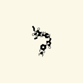 CCCn1c(=O)c2[nH]c(-c3cnn(CC4CC(=O)N(c5cccc(OC(F)(F)F)c5)C4)c3)nc2n(CC)c1=O